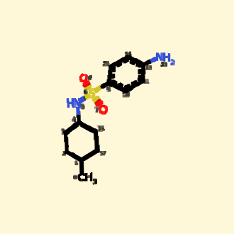 CC1CCC(NS(=O)(=O)c2ccc(N)cc2)CC1